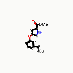 COC(=O)C1CC(Oc2cccc(CC(C)(C)C)c2)CN1